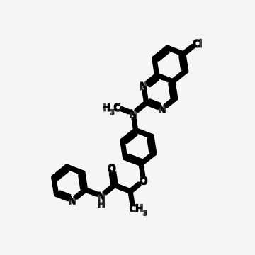 CC(Oc1ccc(N(C)c2ncc3cc(Cl)ccc3n2)cc1)C(=O)Nc1ccccn1